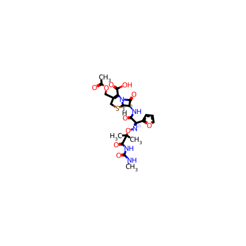 CNC(=O)NC(=O)C(C)(C)O/N=C(\C(=O)N[C@@H]1C(=O)N2C(C(=O)O)=C(COC(C)=O)CS[C@H]12)c1ccco1